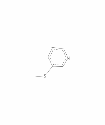 CSc1c[c]cnc1